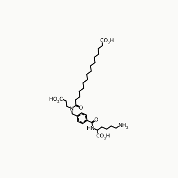 NCCCC[C@H](NC(=O)c1ccc(CN(CCC(=O)O)C(=O)CCCCCCCCCCCCCCC(=O)O)cc1)C(=O)O